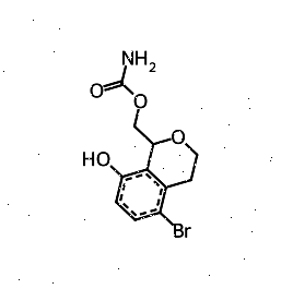 NC(=O)OCC1OCCc2c(Br)ccc(O)c21